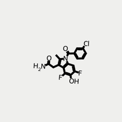 Cc1c(CC(N)=O)c2c(F)c(O)c(F)cc2n1C(=O)c1cccc(Cl)c1